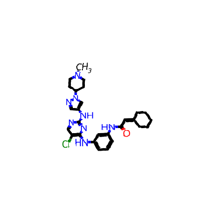 CN1CCC(n2cc(Nc3ncc(Cl)c(Nc4cccc(NC(=O)C=C5CCCCC5)c4)n3)cn2)CC1